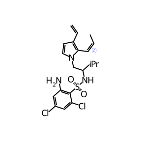 C=Cc1ccn(CC(NS(=O)(=O)c2c(N)cc(Cl)cc2Cl)C(C)C)c1/C=C\C